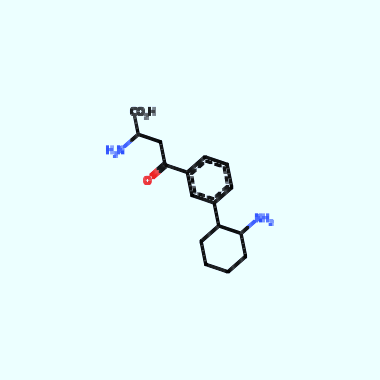 NC(CC(=O)c1cccc(C2CCCCC2N)c1)C(=O)O